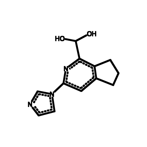 OC(O)c1nc(-n2ccnc2)cc2c1CCC2